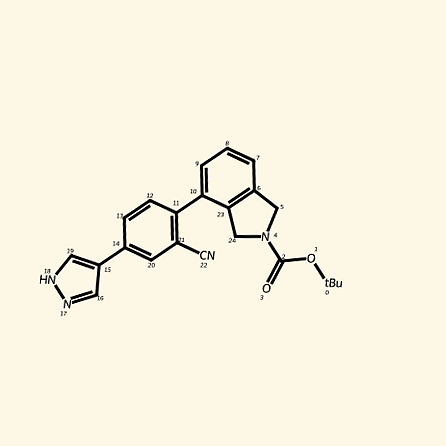 CC(C)(C)OC(=O)N1Cc2cccc(-c3ccc(-c4cn[nH]c4)cc3C#N)c2C1